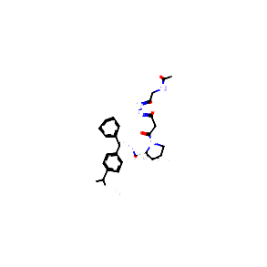 CC(=O)NCc1nnc(CC(=O)N2C[C@H](F)C[C@H]2C(=O)N[C@@H](c2ccccc2)c2ccc(C(C)C)cc2)o1